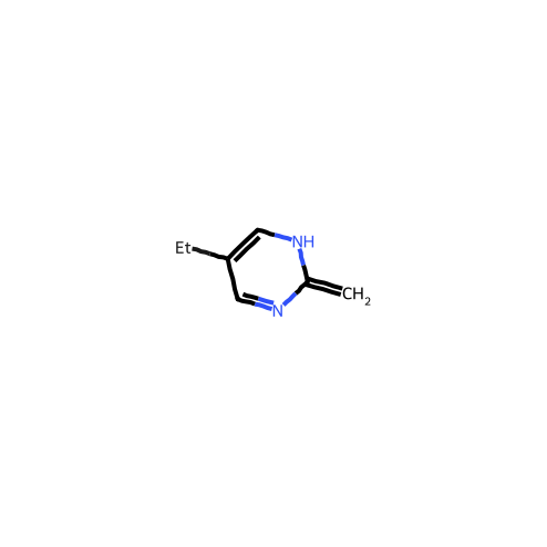 C=C1N=CC(CC)=CN1